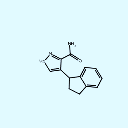 NC(=O)c1n[nH]cc1C1CCc2ccccc21